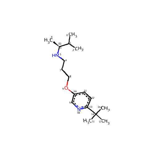 CC(C)[C@H](C)NCCCOc1ccc(C(C)(C)C)nc1